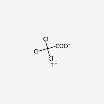 O=C([O-])C(Cl)(Cl)Cl.[Tl+]